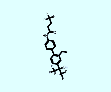 CCc1cc(C(O)(C(F)(F)F)C(F)(F)F)ccc1-c1ccc(NC(=O)CCC(F)(F)F)cc1